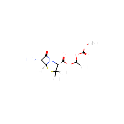 CCCCOC(=O)OC(C)OC(=O)[C@@H]1N2C(=O)[C@@H](N)[C@H]2SC1(C)C